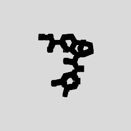 COC(=O)C1=NC2C(C=C1)N1CC=C(C1)N2C(=O)Nc1cc(=O)n(C)cn1